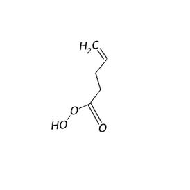 C=CCCC(=O)OO